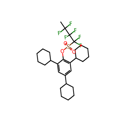 CC(F)(F)C(F)(F)C(F)(F)S(=O)(=O)Oc1c(C2CCCCC2)cc(C2CCCCC2)cc1C1CCCCC1